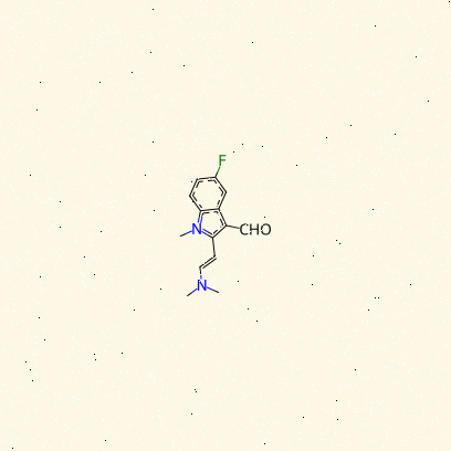 CN(C)C=Cc1c(C=O)c2cc(F)ccc2n1C